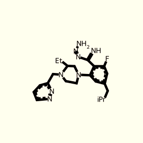 CCC1CN(c2cc(CC(C)C)cc(F)c2C(=N)/N=N\N)CCN1Cc1cccnn1